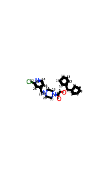 O=C(COC(c1ccccc1)c1ccccc1)N1CCN(Cc2ccnc(Cl)c2)CC1